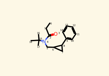 CCC(=O)N(CC1CC1c1ccccc1)C(C)(C)C